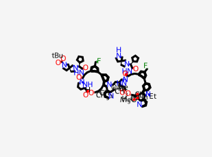 CCn1c(-c2cccnc2[C@H](C)OC)c2c3cc(ccc31)-c1cc(CF)cc(c1)C[C@H](NC(=O)[C@H](C1CCCC1)N1CC[C@]3(CCNC3)C1)C(=O)N1CC(CCn3c(-c4cccnc4[C@H](C)OC)c4c5cc(ccc53)-c3cc(CF)cc(c3)C[C@H](NC(=O)[C@H](C3CCCC3)N3CC[C@]5(CCN(C(=O)OC(C)(C)C)C5)C3)C(=O)N3CCC[C@H](N3)C(=O)OCC(C)(C)C4)C[C@H](N1)C(=O)OCC(C)(C)C2